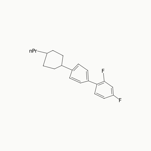 CCCC1CCC(c2ccc(-c3ccc(F)cc3F)cc2)CC1